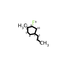 CCCC1CC[C@H](C)[C@H](F)C1